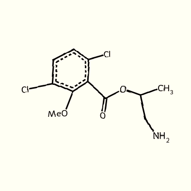 COc1c(Cl)ccc(Cl)c1C(=O)OC(C)CN